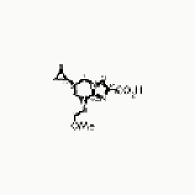 COCCN1CC(C2CC2)Cn2cc(C(=O)O)nc21